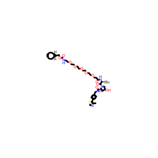 Cc1ncsc1-c1ccc(CNC(=O)[C@@H]2C[C@@H](O)CN2C(=O)[C@@H](NC(=O)CCOCCOCCOCCOCCOCCNC(=O)OCC2[C@H]3CCC#CCC[C@@H]23)C(C)(C)C)cc1